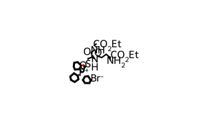 CCOC(=O)CNC(=O)C(CSC(=O)C[P+](c1ccccc1)(c1ccccc1)c1ccccc1)NC(=O)CCC(N)C(=O)OCC.[Br-]